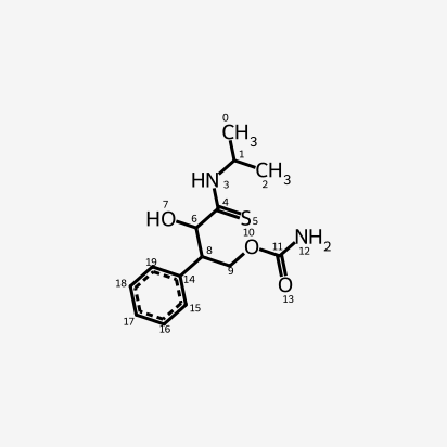 CC(C)NC(=S)C(O)C(COC(N)=O)c1ccccc1